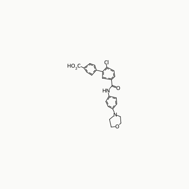 O=C(O)c1ccc(-c2cc(C(=O)Nc3ccc(N4CCOCC4)cc3)ccc2Cl)cc1